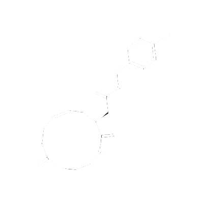 O=C(C[C@@H]1CC=CCCC(=O)OCCNC1=O)NCc1ccc(Cl)cc1